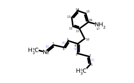 C\C=C/C=C(/C=C/C=N/C)Cc1ccccc1N